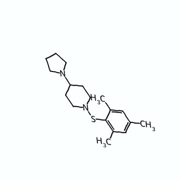 Cc1cc(C)c(SN2CCC(N3CCCC3)CC2)c(C)c1